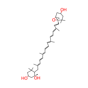 CC(/C=C/C=C(C)/C=C/[C@@]12O[C@]1(C)C[C@@H](O)CC2(C)C)=C\C=C\C=C(C)\C=C\C=C(/C)CC1C(C)(C)C[C@H](O)C[C@@]1(C)O